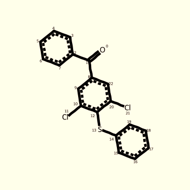 O=C(c1ccccc1)c1cc(Cl)c(Sc2cc[c]cc2)c(Cl)c1